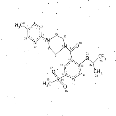 Cc1ccc(N2CCN(C(=O)c3cc(S(C)(=O)=O)ccc3OC(C)C(F)(F)F)CC2)nc1